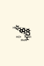 CN[C@@H](C)C(=O)N[C@H]1CCc2ccccc2N(Cc2cccc3c(CN4CCNCC4)cccc23)C1=O.Cl